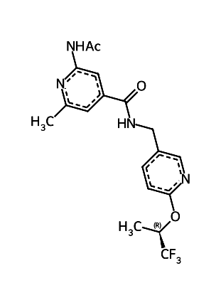 CC(=O)Nc1cc(C(=O)NCc2ccc(O[C@H](C)C(F)(F)F)nc2)cc(C)n1